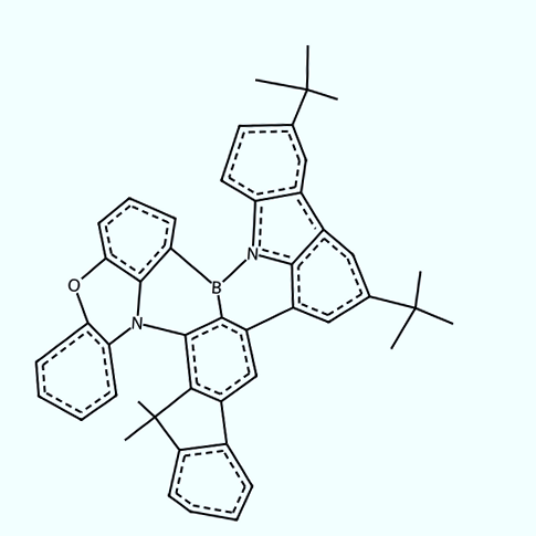 CC(C)(C)c1ccc2c(c1)c1cc(C(C)(C)C)cc3c1n2B1c2cccc4c2N(c2ccccc2O4)c2c1c-3cc1c2C(C)(C)c2ccccc2-1